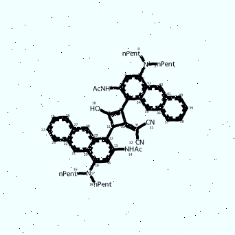 CCCCCN(CCCCC)c1cc(NC(C)=O)c(C2=C(O)C(c3c(NC(C)=O)cc(N(CCCCC)CCCCC)c4cc5ccccc5cc34)C2=C(C#N)C#N)c2cc3ccccc3cc12